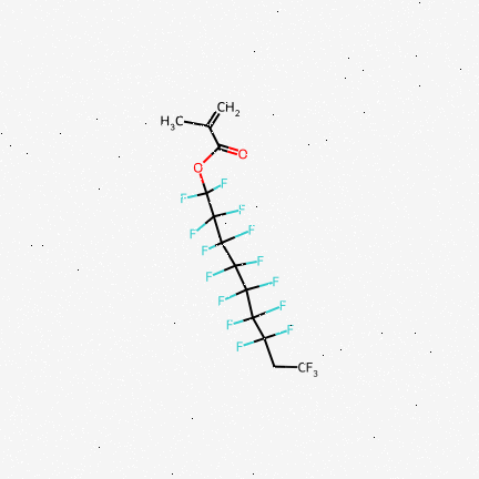 C=C(C)C(=O)OC(F)(F)C(F)(F)C(F)(F)C(F)(F)C(F)(F)C(F)(F)C(F)(F)CC(F)(F)F